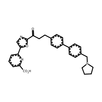 O=C(O)c1cccc(-c2cnc(C(=O)CCc3ccc(-c4ccc(CN5CCCC5)cc4)cc3)o2)n1